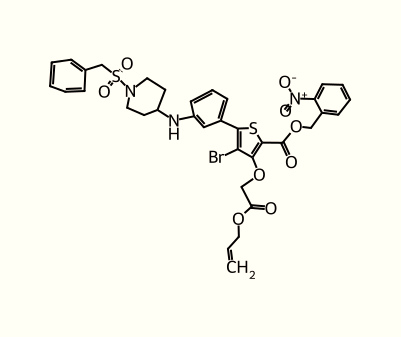 C=CCOC(=O)COc1c(C(=O)OCc2ccccc2[N+](=O)[O-])sc(-c2cccc(NC3CCN(S(=O)(=O)Cc4ccccc4)CC3)c2)c1Br